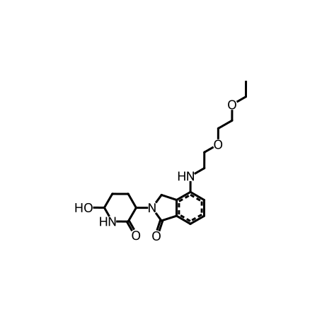 CCOCCOCCNc1cccc2c1CN(C1CCC(O)NC1=O)C2=O